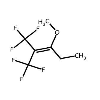 CCC(OC)=C(C(F)(F)F)C(F)(F)F